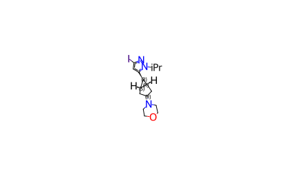 CC(C)n1nc(I)cc1[C@H]1[C@@H]2C[C@H](N3CCOCC3)C[C@@H]21